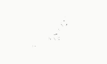 O=C(O)CC1CCCN(c2cncc(OCc3ccc(OC(F)(F)F)cc3)c2)C1